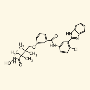 CC(C)(COc1cccc(C(=O)Nc2ccc(Cl)c(-c3nc4ccccc4[nH]3)c2)c1)C(C)(C)C(=O)NO